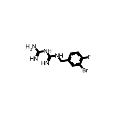 N=C(N)NC(=N)NCc1ccc(F)c(Br)c1